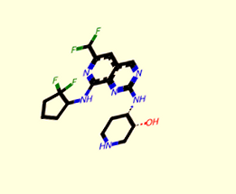 O[C@@H]1CNCC[C@@H]1Nc1ncc2cc(C(F)F)nc(NC3CCCC3(F)F)c2n1